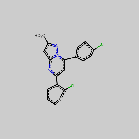 O=C(O)c1cc2nc(-c3ccccc3Cl)cc(-c3ccc(Cl)cc3)n2n1